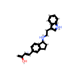 C=C(O)/C=C/c1ccc2c(c1)CCC2NCCc1c[nH]c2ccccc12